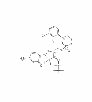 CC(C)(C)[Si](C)(C)O[C@@H]1[C@@H](CO[P@]2(=O)OCC[C@H](c3cccc(Cl)c3Cl)O2)O[C@@H](n2ccc(N)nc2=O)C1(F)F